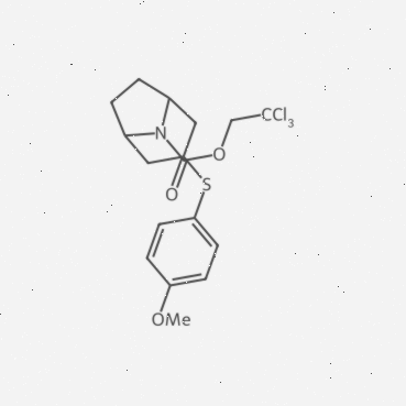 COc1ccc(SC2CC3CCC(C2)N3C(=O)OCC(Cl)(Cl)Cl)cc1